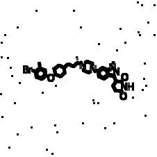 Cc1cc(OC2CCC(CC[C@H](C)N3CCN(c4ccc5c(C6CCC(=O)NC6=O)nn(C)c5c4)CC3)CC2)ccc1Br